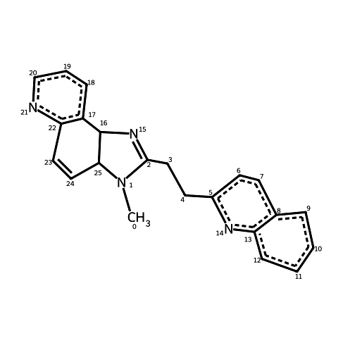 CN1C(CCc2ccc3ccccc3n2)=NC2c3cccnc3C=CC21